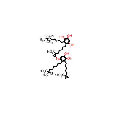 CC(C)(CCCCCCc1c(OC2CC2(CCCCCc2c(O)cc(O)c(O)c2CCCCCCC(C)(C)C(=O)O)C(=O)O)cc(O)c(O)c1CCCCCC1(C(=O)O)CC1)C(=O)O